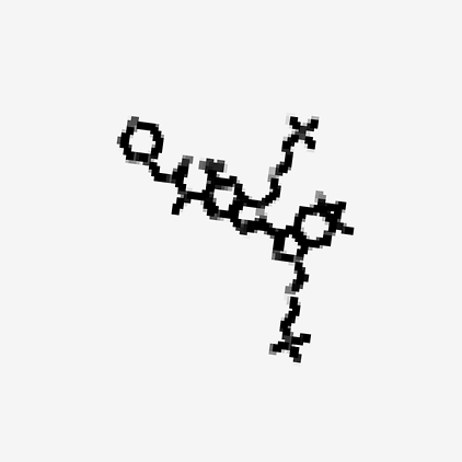 COc1nc2c(cc1N(C)C(=O)CN1CCOCC1)nc(-c1nn(COCC[Si](C)(C)C)c3c1C[C@@H]1C[C@]1(C)C3)n2COCC[Si](C)(C)C